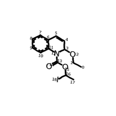 CCOC1C=Cc2ccccc2N1C(=O)OC(C)I